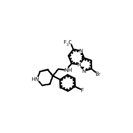 Fc1ccc(C2(CNc3cc(C(F)(F)F)nc4cc(Br)nn34)CCNCC2)cc1